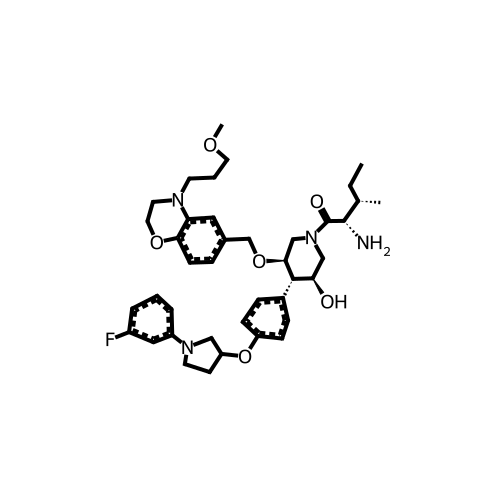 CC[C@H](C)[C@H](N)C(=O)N1C[C@@H](O)[C@H](c2ccc(OC3CCN(c4cccc(F)c4)C3)cc2)[C@@H](OCc2ccc3c(c2)N(CCCOC)CCO3)C1